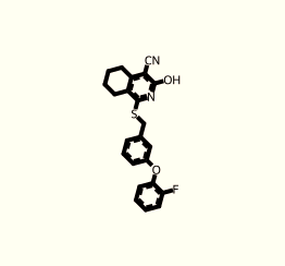 N#Cc1c(O)nc(SCc2cccc(Oc3ccccc3F)c2)c2c1CCCC2